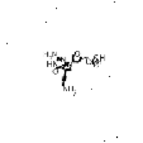 NCC#Cc1cn([C@@H]2CO[C@H](CO[PH](=O)O)C2)c2nc(N)[nH]c(=O)c12